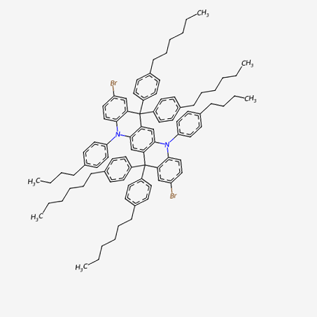 CCCCCCc1ccc(C2(c3ccc(CCCCCC)cc3)c3cc(Br)ccc3N(c3ccc(CCCC)cc3)c3cc4c(cc32)N(c2ccc(CCCC)cc2)c2ccc(Br)cc2C4(c2ccc(CCCCCC)cc2)c2ccc(CCCCCC)cc2)cc1